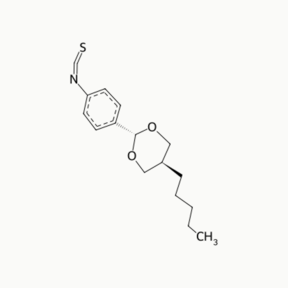 CCCCC[C@H]1CO[C@H](c2ccc(N=C=S)cc2)OC1